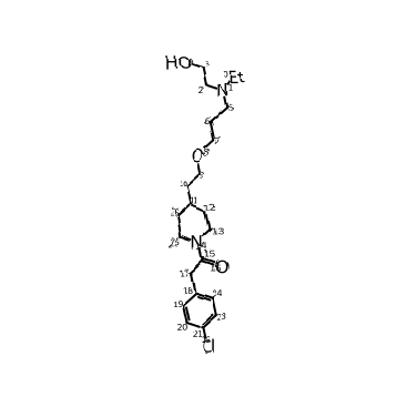 CCN(CCO)CCCOCCC1CCN(C(=O)Cc2ccc(Cl)cc2)CC1